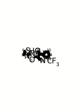 O=C(Nc1nccs1)c1cnc2c(C(F)(F)F)cccc2c1O